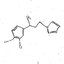 OC(CCn1ccnc1)c1ccc(Cl)c(Cl)c1